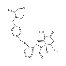 BC1CC(=O)N(B)C(=O)C1(B)N1Cc2c(OCc3ccc(CN4CCOCC4=O)cc3)cccc2C1=O